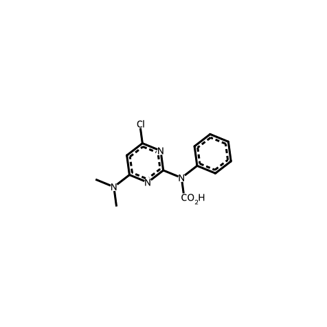 CN(C)c1cc(Cl)nc(N(C(=O)O)c2ccccc2)n1